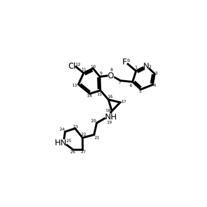 Fc1ncccc1COc1cc(Cl)ccc1C1CC1NCCC1CCNCC1